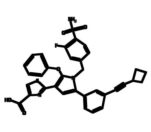 NS(=O)(=O)c1ccc(Cn2c(-c3cccc(C#CC4CCC4)c3)cc(-c3nc(C(=O)O)cs3)c2Oc2ccccc2)cc1F